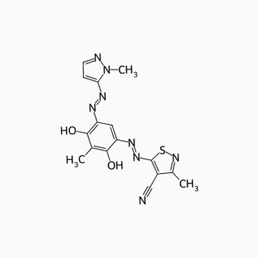 Cc1nsc(/N=N/c2cc(/N=N/c3ccnn3C)c(O)c(C)c2O)c1C#N